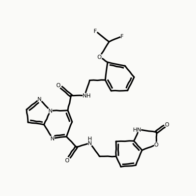 O=C(NCc1ccc2oc(=O)[nH]c2c1)c1cc(C(=O)NCc2ccccc2OC(F)F)n2nccc2n1